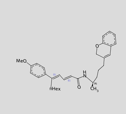 CCCCCC/C(=C\C=C\C(=O)N[C@H](C)CCCC1=Cc2ccccc2OC1)c1ccc(OC)cc1